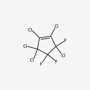 FC1(Cl)C(Cl)=C(Cl)C(Cl)(Cl)C1(F)F